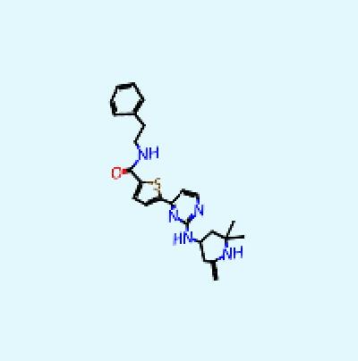 C=C1CC(Nc2nccc(-c3ccc(C(=O)NCCc4ccccc4)s3)n2)CC(C)(C)N1